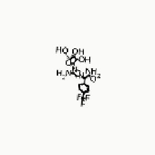 NC(=O)C(c1ccc(C(F)(F)F)cc1)N1C=C(N)N([C@@H]2O[C@H](CO)[C@@H](O)[C@H]2O)C1